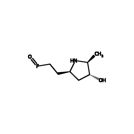 C[C@@H]1N[C@H](CCP=O)C[C@H]1O